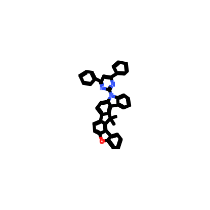 CC1(C)c2c(ccc3oc4ccccc4c23)-c2ccc3c(c21)c1ccccc1n3-c1nc(-c2ccccc2)cc(-c2ccccc2)n1